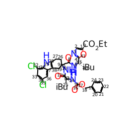 CCOC(=O)c1cnc([C@@H](NC(=O)[C@]2(NC(=O)[C@@H](NC(=O)OCc3ccccc3)C(C)CC)CCc3[nH]c4c(Cl)cc(Cl)cc4c3C2)C(C)CC)o1